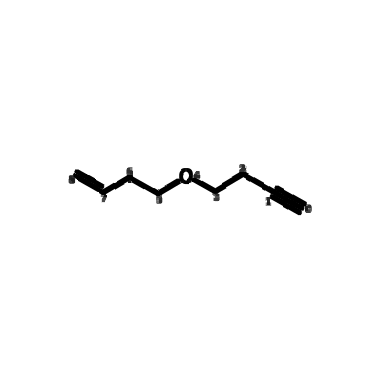 C#CCCOC[CH]C=C